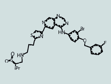 CC(C)C(CNCCCc1nc(-c2cc3c(Nc4ccc(OCc5cccc(F)c5)c(Br)c4)ncnc3cn2)cs1)=S(=O)=O